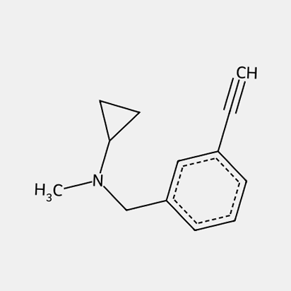 C#Cc1cccc(CN(C)C2CC2)c1